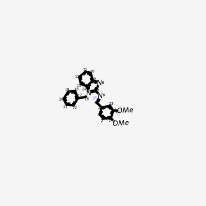 COc1ccc(/C=N/c2nc3ccccc3n2Cc2ccccc2)cc1OC